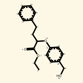 CCOC(=O)C(CCc1ccccc1)Oc1ccc(CO)cc1